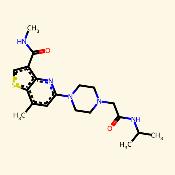 CNC(=O)c1csc2c(C)cc(N3CCN(CC(=O)NC(C)C)CC3)nc12